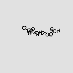 O=C(O)c1cccc(OCC2CCN(c3ccc(NC(=O)c4ccc(C5C=CC=CC5)o4)cn3)CC2)c1